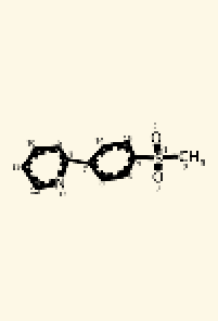 CS(=O)(=O)c1ccc(-c2c[c]ccn2)cc1